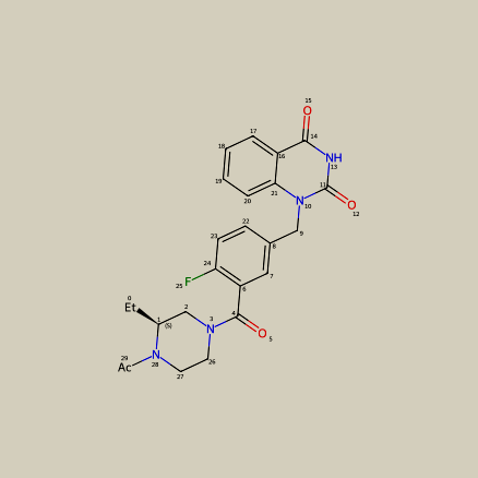 CC[C@H]1CN(C(=O)c2cc(Cn3c(=O)[nH]c(=O)c4ccccc43)ccc2F)CCN1C(C)=O